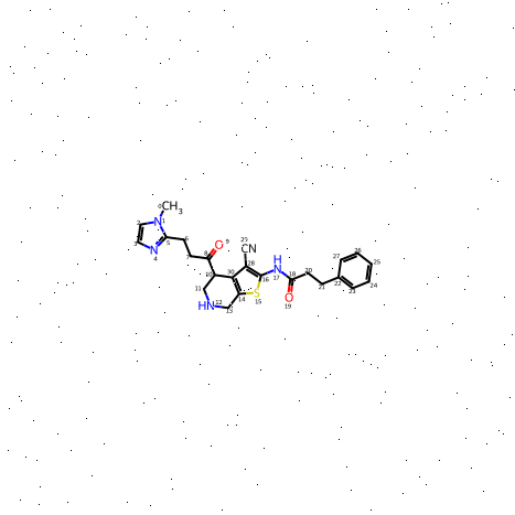 Cn1ccnc1CCC(=O)C1CNCc2sc(NC(=O)CCc3ccccc3)c(C#N)c21